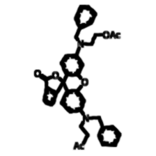 CC(=O)CCN(Cc1ccccc1)c1ccc2c(c1)Oc1cc(N(CCOC(C)=O)Cc3ccccc3)ccc1C21OC(=O)c2ccccc21